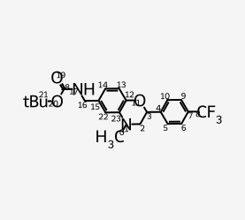 CN1CC(c2ccc(C(F)(F)F)cc2)Oc2ccc(CNC(=O)OC(C)(C)C)cc21